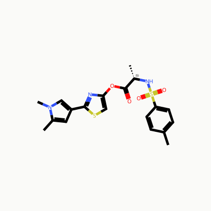 Cc1ccc(S(=O)(=O)N[C@@H](C)C(=O)Oc2csc(-c3cc(C)n(C)c3)n2)cc1